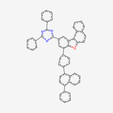 c1ccc(-c2nc(-c3ccccc3)nc(-c3cc(-c4ccc(-c5ccc(-c6ccccc6)c6ccccc56)cc4)c4oc5ccc6ccccc6c5c4c3)n2)cc1